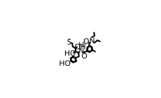 CCCN(CCC)C(=O)c1cc(C)cc(C(=O)NC(Cc2ccc(O)cc2)C(O)C(O)CCSC)c1